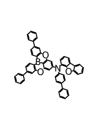 c1ccc(-c2ccc(N(c3cc4c5c(c3)Oc3cc(-c6ccccc6)ccc3B5c3ccc(-c5ccccc5)cc3O4)c3cccc4c3oc3ccccc34)cc2)cc1